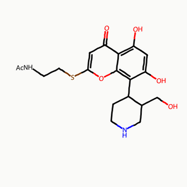 CC(=O)NCCSc1cc(=O)c2c(O)cc(O)c(C3CCNCC3CO)c2o1